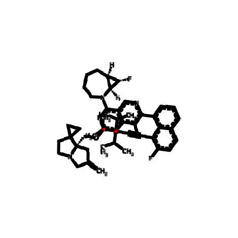 C=C1CN2CCC3(CC3)[C@@]2(COc2nc(N3CCCC[C@H]4[C@H](F)[C@H]43)c3cnc(-c4cccc5ccc(F)c(C#C[Si](C(C)C)(C(C)C)C(C)C)c45)c(F)c3n2)C1